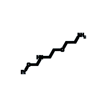 CCOCNCCOCCN